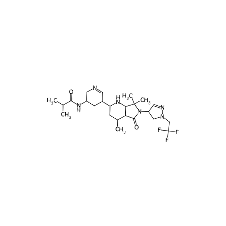 CC(C)C(=O)NC1CN=CC(C2CC(C)C3C(=O)N(C4C=NN(CC(F)(F)F)C4)C(C)(C)C3N2)C1